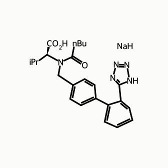 CCCCC(=O)N(Cc1ccc(-c2ccccc2-c2nnn[nH]2)cc1)[C@H](C(=O)O)C(C)C.[NaH]